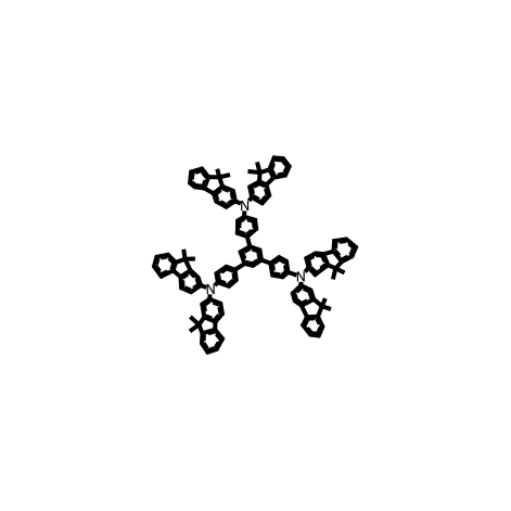 CC1(C)c2ccccc2-c2ccc(N(c3ccc(-c4cc(-c5ccc(N(c6ccc7c(c6)C(C)(C)c6ccccc6-7)c6ccc7c(c6)C(C)(C)c6ccccc6-7)cc5)cc(-c5ccc(N(c6ccc7c(c6)C(C)(C)c6ccccc6-7)c6ccc7c(c6)C(C)(C)c6ccccc6-7)cc5)c4)cc3)c3ccc4c(c3)C(C)(C)c3ccccc3-4)cc21